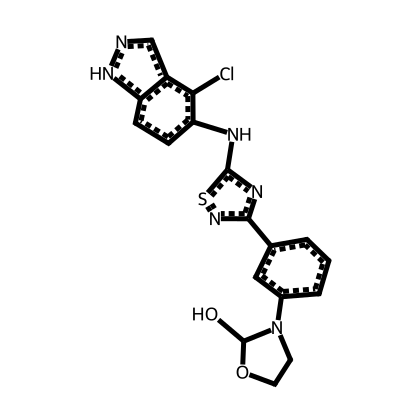 OC1OCCN1c1cccc(-c2nsc(Nc3ccc4[nH]ncc4c3Cl)n2)c1